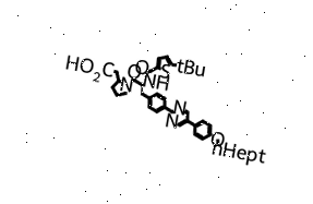 CCCCCCCOc1ccc(-c2cnc(-c3ccc(C[C@H](NC(=O)c4ccc(C(C)(C)C)s4)C(=O)N4CCCC4CC(=O)O)cc3)nc2)cc1